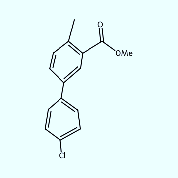 COC(=O)c1cc(-c2ccc(Cl)cc2)ccc1C